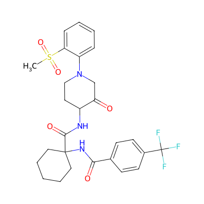 CS(=O)(=O)c1ccccc1N1CCC(NC(=O)C2(NC(=O)c3ccc(C(F)(F)F)cc3)CCCCC2)C(=O)C1